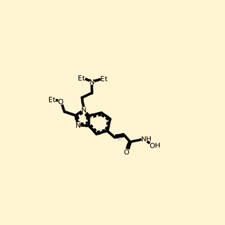 CCOCc1nc2cc(/C=C/C(=O)NO)ccc2n1CCN(CC)CC